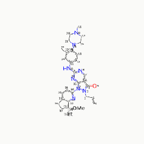 C=CCn1c(=O)c2cnc(Nc3ccc(N4CCN(C)CC4)c(C)c3)nc2n1-c1ccc2c(n1)[C@@](CC)(OC)CC2